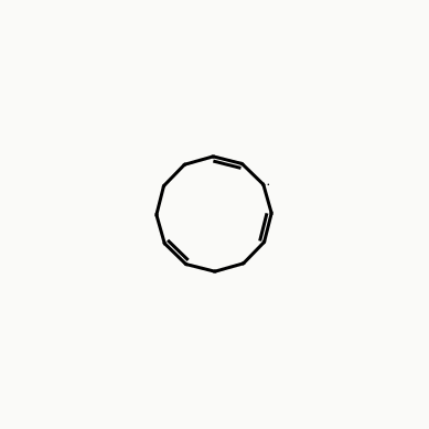 [CH]1C=CCCC=CCCCC=C1